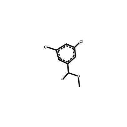 [CH2]C(OC)c1cc(Cl)cc(Cl)c1